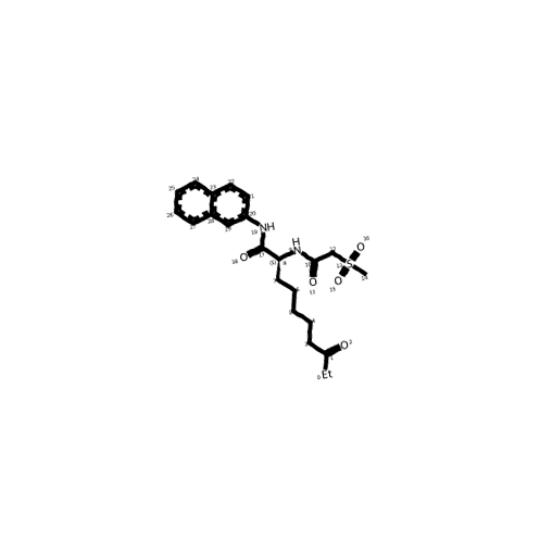 CCC(=O)CCCCC[C@H](NC(=O)CS(C)(=O)=O)C(=O)Nc1ccc2ccccc2c1